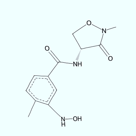 Cc1ccc(C(=O)N[C@@H]2CON(C)C2=O)cc1NO